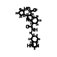 O=C(NCc1ccc2nc[nH]c2c1)c1cccn2c(C(=O)O)c(-c3ccsc3)nc12